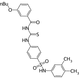 CCCCOc1cccc(C(=O)NC(=S)Nc2ccc(S(=O)(=O)Nc3ccc(C)c(C)c3)cc2)c1